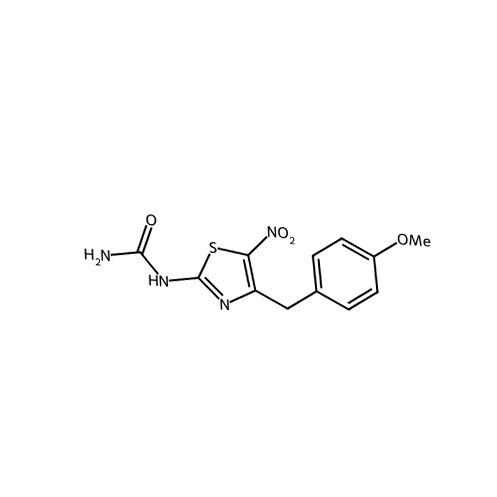 COc1ccc(Cc2nc(NC(N)=O)sc2[N+](=O)[O-])cc1